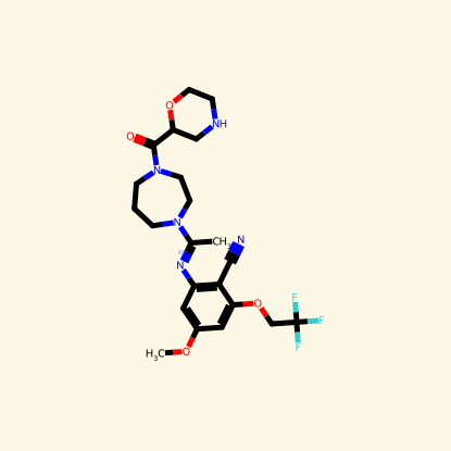 COc1cc(/N=C(\C)N2CCCN(C(=O)C3CNCCO3)CC2)c(C#N)c(OCC(F)(F)F)c1